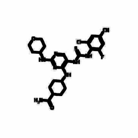 N#Cc1cc(F)c(NC(=S)Nc2cnc(NC3CCOCC3)nc2NC2CCC(C(N)=O)CC2)c(Cl)c1